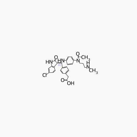 CNCCCN(C(C)=O)c1ccc(N/C(=C2\C(=O)Nc3cc(Cl)ccc32)c2ccc(CC(=O)O)cc2)cc1